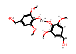 COc1cc(CO)cc(OC)c1OBOc1c(OC)cc(CO)cc1OC